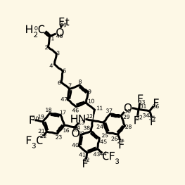 C=C(CCCCCc1ccc(C[C@@](NC(=O)c2ccc(F)c(C(F)(F)F)c2)(c2cc(F)cc(OC(F)(F)C(F)F)c2)c2ccc(F)c(C(F)(F)F)c2)cc1)OCC